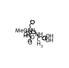 COC(=O)c1c(NC(=O)C2CCOC2)c2cc(NCC(C)Cc3ccc(O)c(O)c3)cnc2n1CCCc1ccccc1